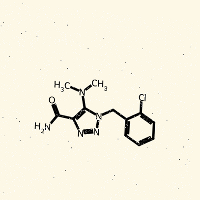 CN(C)c1c(C(N)=O)nnn1Cc1ccccc1Cl